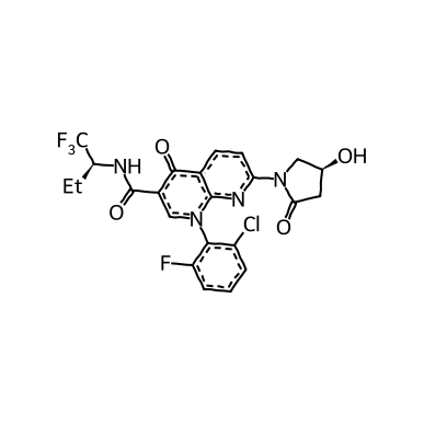 CC[C@H](NC(=O)c1cn(-c2c(F)cccc2Cl)c2nc(N3C[C@@H](O)CC3=O)ccc2c1=O)C(F)(F)F